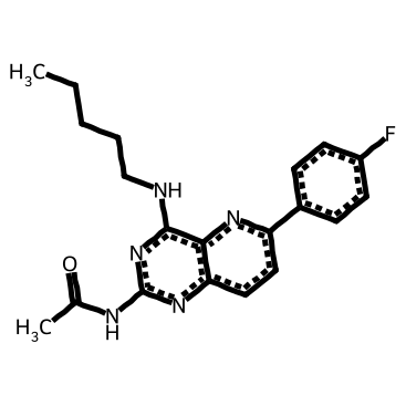 CCCCCNc1nc(NC(C)=O)nc2ccc(-c3ccc(F)cc3)nc12